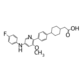 COc1cc(Nc2ccc(F)cc2)cnc1-c1ccc(C2CCC(CC(=O)O)CC2)cc1